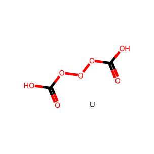 O=C(O)OOOC(=O)O.[U]